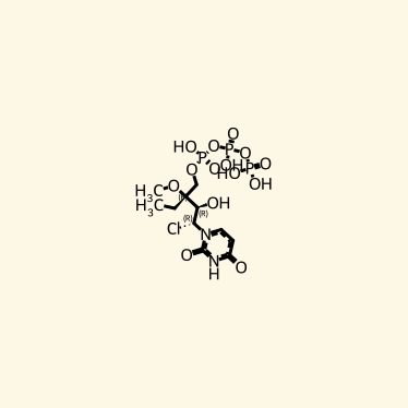 CC[C@](COP(=O)(O)OP(=O)(O)OP(=O)(O)O)(OC)[C@@H](O)[C@@H](Cl)n1ccc(=O)[nH]c1=O